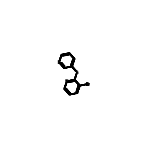 Brc1cccnc1Sc1cccnc1